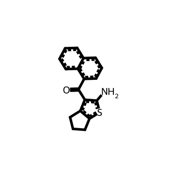 Nc1sc2c(c1C(=O)c1cccc3ccccc13)CCC2